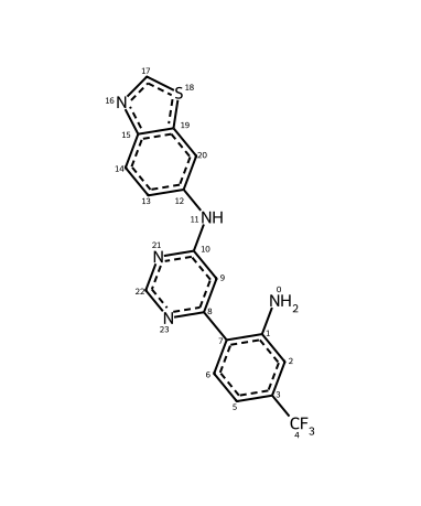 Nc1cc(C(F)(F)F)ccc1-c1cc(Nc2ccc3ncsc3c2)ncn1